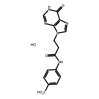 Cl.O=C(CCn1cnc2c(=O)[nH]cnc21)Nc1ccc(C(=O)O)cc1